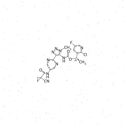 C[C@@H](OC(=O)Nc1c(-c2ncc(NC(=O)C3(C#N)CC3)cn2)nnn1C)c1cc(F)cnc1Cl